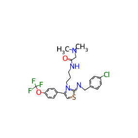 CN(C)CC(=O)NCCCn1c(-c2ccc(OC(F)(F)F)cc2)cs/c1=N\Cc1ccc(Cl)cc1